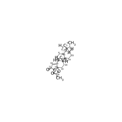 CC[C@@]1(C)C[C@@]23CC[C@@H]4C5=CC(=O)O[C@]5(OC(C)=O)CC[C@@]4(C)[C@@H]2CC[C@@H]1C3